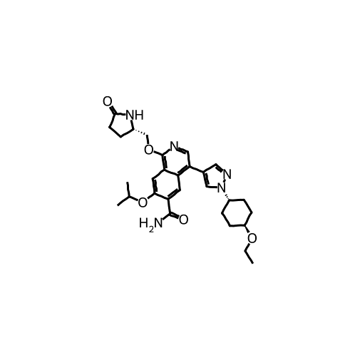 CCO[C@H]1CC[C@H](n2cc(-c3cnc(OC[C@@H]4CCC(=O)N4)c4cc(OC(C)C)c(C(N)=O)cc34)cn2)CC1